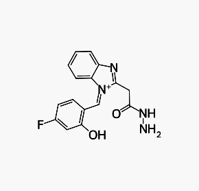 NNC(=O)CC1=Nc2ccccc2[N+]1=Cc1ccc(F)cc1O